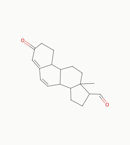 CC12CCC3C4CCC(=O)C=C4C=CC3C1CCC2C=O